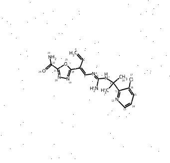 C=C/C(=C\N=C(/N)NC(C)(C)c1ncccc1Cl)c1nnc(C(N)=O)o1